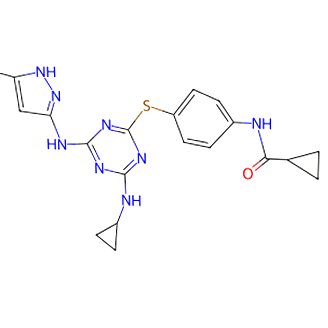 Cc1cc(Nc2nc(NC3CC3)nc(Sc3ccc(NC(=O)C4CC4)cc3)n2)n[nH]1